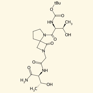 C[C@@H](O)[C@H](NC(=O)CN1CC2(CCCN2C(=O)[C@@H](NC(=O)OC(C)(C)C)[C@@H](C)O)C1=O)C(N)=O